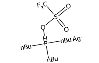 CCCC[PH](CCCC)(CCCC)OS(=O)(=O)C(F)(F)F.[Ag]